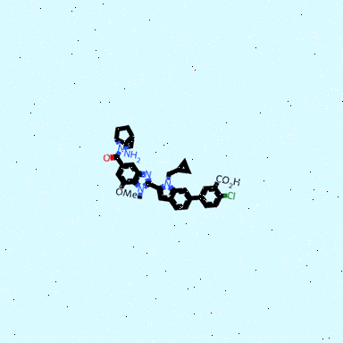 COc1cc(C(=O)N2CC3CCC2C3N)cc2nc(-c3cc4ccc(-c5ccc(Cl)c(C(=O)O)c5)cc4n3CC3CC3)n(C)c12